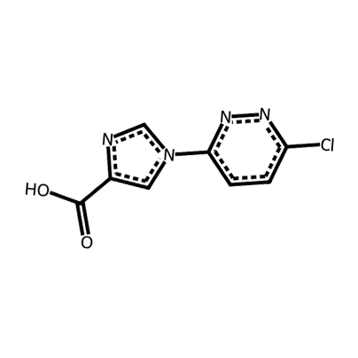 O=C(O)c1cn(-c2ccc(Cl)nn2)cn1